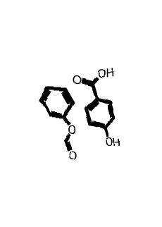 O=C(O)c1ccc(O)cc1.O=COc1ccccc1